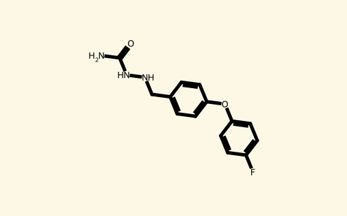 NC(=O)NNCc1ccc(Oc2ccc(F)cc2)cc1